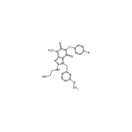 COc1cccc(Cn2c(NCCO)nc3c2c(=O)n(Cc2ccc(F)cc2)c(=O)n3C)c1